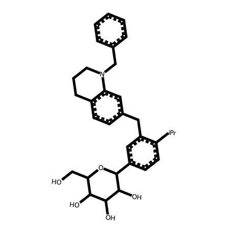 CC(C)c1ccc(C2OC(CO)C(O)C(O)C2O)cc1Cc1ccc2c(c1)N(Cc1ccccc1)CCC2